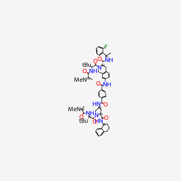 CN[C@@H](C)C(=O)NC(C(=O)N1Cc2cc(NC(=O)c3ccc(C(=O)N[C@H]4C[C@@H](C(=O)N[C@@H]5CCCc6ccccc65)N(C(=O)[C@@H](NC(=O)[C@H](C)NC)C(C)(C)C)C4)cc3)ccc2C[C@H]1C(=O)N[C@H](C)c1ccccc1F)C(C)(C)C